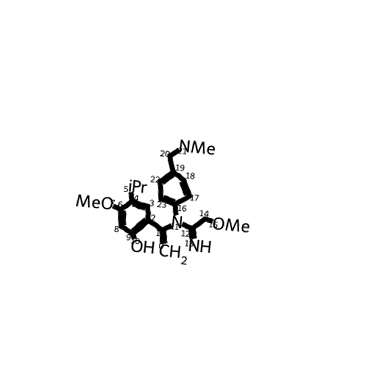 C=C(c1cc(C(C)C)c(OC)cc1O)N(C(=N)COC)c1ccc(CNC)cc1